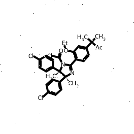 CCOc1cc(C(C)(C)C(C)=O)ccc1C1=N[C@@](C)(c2ccc(Cl)cc2)[C@@](C)(c2ccc(Cl)cc2)N1C(=O)Cl